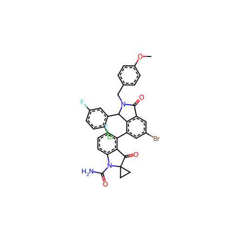 COc1ccc(CN2C(=O)c3cc(Br)cc(-c4c(F)ccc5c4C(=O)C4(CC4)N5C(N)=O)c3C2c2cc(F)ccc2Cl)cc1